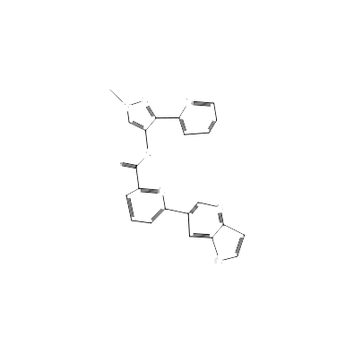 Cn1cc(NC(=O)c2cccc(-c3cnc4cc[nH]c4c3)n2)c(-c2ccccn2)n1